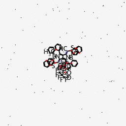 Cc1ccccc1-c1c2/c(=C(\C#N)c3nc4ccccc4s3)n(B(c3ccccc3)c3ccccc3)c(-c3ccc(OS(=O)(=O)C(F)(F)C(F)(F)C(F)(F)S(=O)(=O)NS(=O)(=O)C(F)(F)F)cc3)c2/c(=C(\C#N)c2nc3ccccc3s2)n1B(c1ccccc1)c1ccccc1